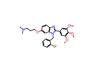 COc1cc(-c2nc3ccc(OCCCN(C)C)cc3n2Cc2ccccc2Br)cc(OC)c1OC